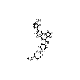 CN1CCCN(c2ccc(Nc3nc4ccc(-c5cnn(C)c5)cc4n4ccnc34)cc2)CC1